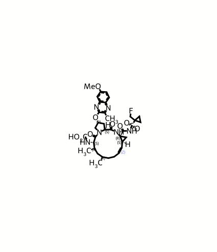 COc1ccc2nc(C)c(O[C@@H]3C[C@H]4C(=O)N[C@]5(C(=O)NS(=O)(=O)C6(CF)CC6)C[C@H]5/C=C\CC[C@@H](C)C[C@@H](C)[C@H](NC(=O)O)C(=O)N4C3)nc2c1